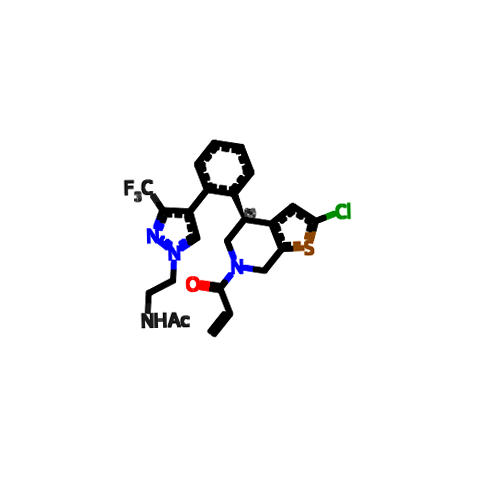 C=CC(=O)N1Cc2sc(Cl)cc2[C@H](c2ccccc2-c2cn(CCNC(C)=O)nc2C(F)(F)F)C1